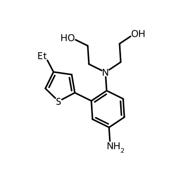 CCc1csc(-c2cc(N)ccc2N(CCO)CCO)c1